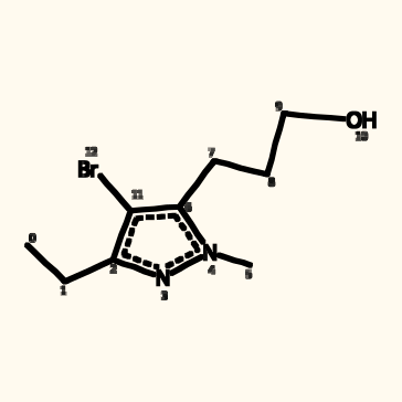 CCc1nn(C)c(CCCO)c1Br